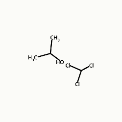 CC(C)O.ClC(Cl)Cl